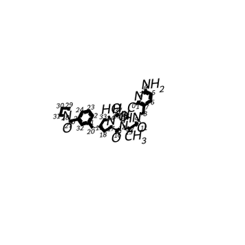 Cc1nc(N)ccc1CNC(=O)[C@H](C)NC(=O)[C@H]1C[C@H](Cc2cccc(C(=O)N3CCC3)c2)CN1C(=O)O